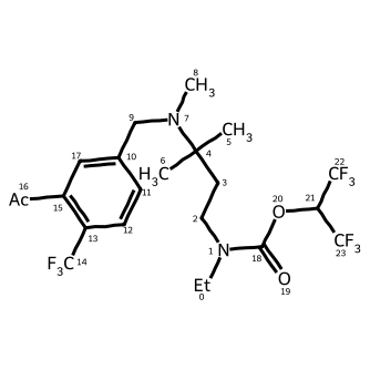 CCN(CCC(C)(C)N(C)Cc1ccc(C(F)(F)F)c(C(C)=O)c1)C(=O)OC(C(F)(F)F)C(F)(F)F